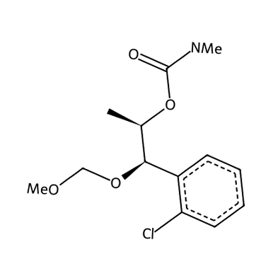 CNC(=O)O[C@H](C)[C@H](OCOC)c1ccccc1Cl